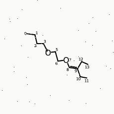 CCCCOCCOC=C(CC)CC